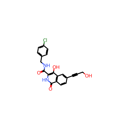 O=C(NCc1ccc(Cl)cc1)c1[nH]c(=O)c2ccc(C#CCO)cc2c1O